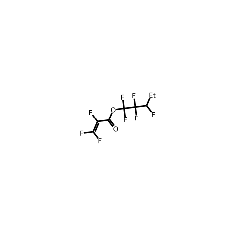 CCC(F)C(F)(F)C(F)(F)OC(=O)C(F)=C(F)F